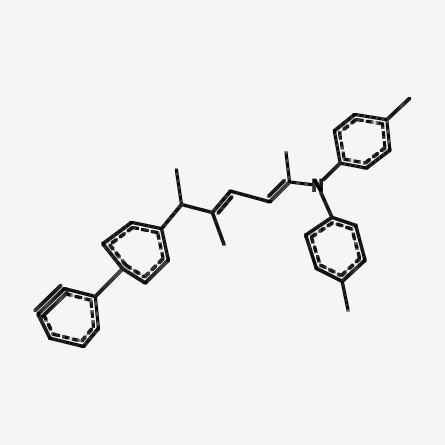 C/C(=C\C=C(/C)N(c1ccc(C)cc1)c1ccc(C)cc1)C(C)c1ccc(-c2c#cccc2)cc1